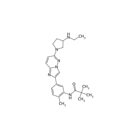 CCNC1CCN(c2ccc3nc(-c4ccc(C)c(NC(=O)C(C)(C)C)c4)cn3n2)C1